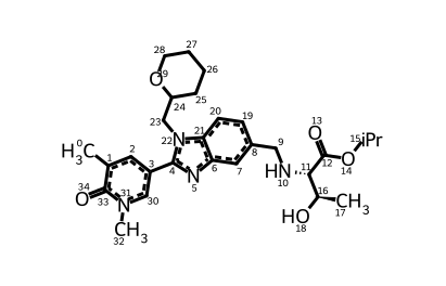 Cc1cc(-c2nc3cc(CN[C@H](C(=O)OC(C)C)[C@@H](C)O)ccc3n2CC2CCCCO2)cn(C)c1=O